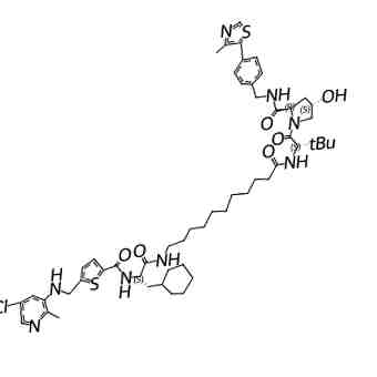 Cc1ncc(Cl)cc1NCc1ccc(C(=O)N[C@@H](CC2CCCCC2)C(=O)NCCCCCCCCCCC(=O)N[C@H](C(=O)N2C[C@@H](O)C[C@@H]2C(=O)NCc2ccc(-c3scnc3C)cc2)C(C)(C)C)s1